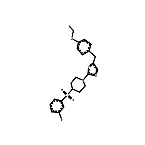 CCOc1ccc(Cc2csc(N3CCC(S(=O)(=O)c4cccc(Br)c4)CC3)n2)cc1